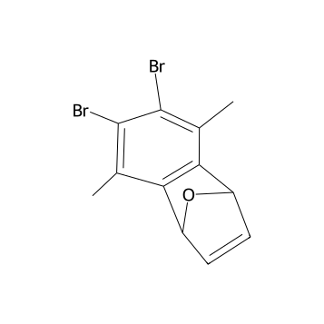 Cc1c(Br)c(Br)c(C)c2c1C1C=CC2O1